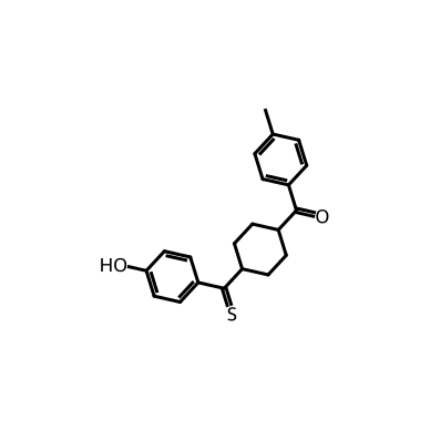 Cc1ccc(C(=O)C2CCC(C(=S)c3ccc(O)cc3)CC2)cc1